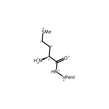 CCCCCNC(=O)[C@@H](N)CCSC